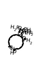 CC1\C=C/C=C\C=C/C=C\C=C/C(CC2OCC(OP)C(CP)C2NP)C(C)(OP)/C=C/C=C\C=C/C=C/C(=O)NC1